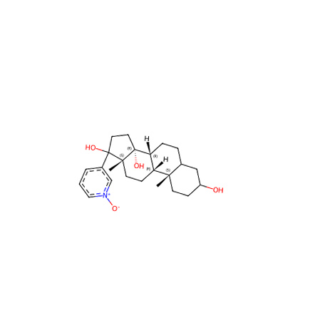 C[C@]12CCC(O)CC1CC[C@@H]1[C@H]2CC[C@]2(C)C(O)(c3ccc[n+]([O-])c3)CC[C@@]12O